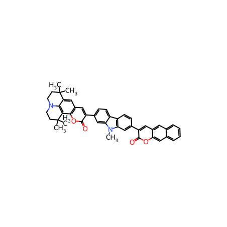 Cn1c2cc(-c3cc4cc5ccccc5cc4oc3=O)ccc2c2ccc(-c3cc4cc5c6c(c4oc3=O)C(C)(C)CCN6CCC5(C)C)cc21